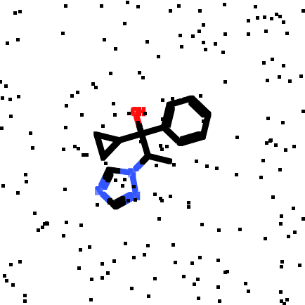 CC(n1cncn1)C(O)(c1ccccc1)C1CC1